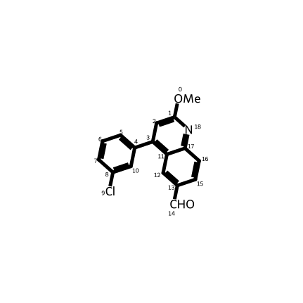 COc1cc(-c2cccc(Cl)c2)c2cc(C=O)ccc2n1